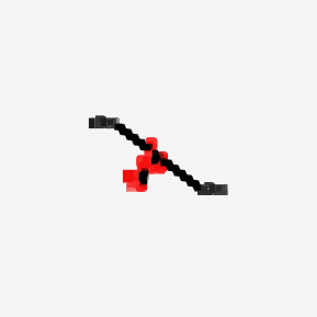 CCCCCCCCCCCCCCCCCCCCC(=O)O[C@H](COC(=O)CCCCCCCCCCCCCCCCCCC)COP(=O)(O)OC[C@@H](O)CO